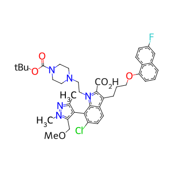 COCc1c(-c2c(Cl)ccc3c(CCCOc4cccc5cc(F)ccc45)c(C(=O)O)n(CCN4CCN(C(=O)OC(C)(C)C)CC4)c23)c(C)nn1C